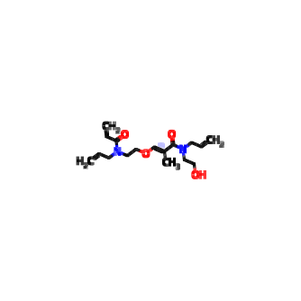 C=CCN(CCO/C=C(\C)C(=O)N(CC=C)CCO)C(=O)C=C